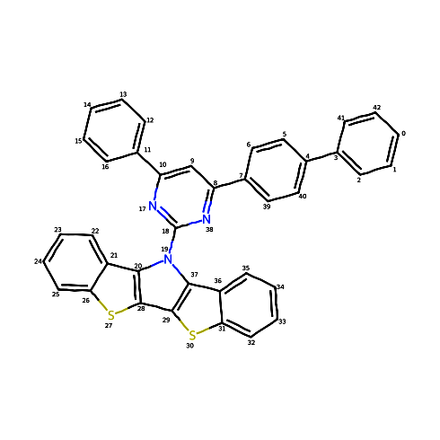 c1ccc(-c2ccc(-c3cc(-c4ccccc4)nc(-n4c5c6ccccc6sc5c5sc6ccccc6c54)n3)cc2)cc1